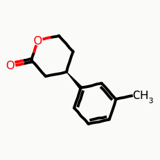 Cc1cccc([C@@H]2CCOC(=O)C2)c1